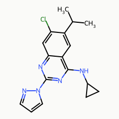 CC(C)c1cc2c(NC3CC3)nc(-n3cccn3)nc2cc1Cl